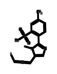 CCS(=O)(=O)c1cc(C(F)(F)F)ccc1-c1ncc(C=C=CI)n1C